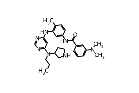 CCCN(c1cc(Nc2cc(NC(=O)c3cccc(N(C)C)c3)ccc2C)ncn1)C1CCNC1